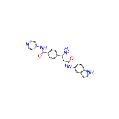 NC(CC(=O)Nc1ccc2[nH]ccc2c1)c1ccc(C(=O)Nc2ccncc2)cc1